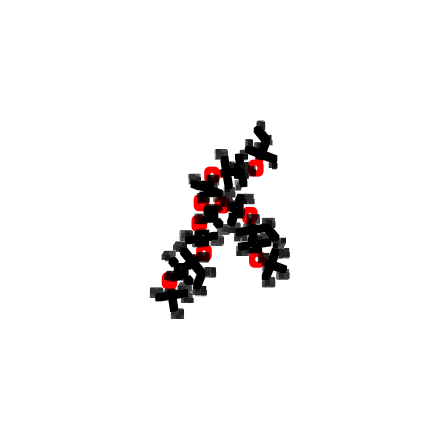 CCC(C)(C)O[Si](C)(C)C(C)(C)O[Si](C)(C)O[Si](C)(O[Si](C)(C)OC(C)(CC)[Si](C)(C)OC(C)(C)C)O[Si](C)(C)OC(C)(CC)[Si](C)(C)OC(C)(C)C